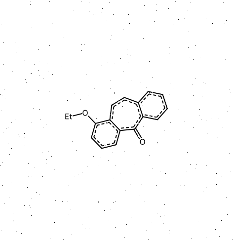 CCOc1cccc2c(=O)c3ccccc3ccc12